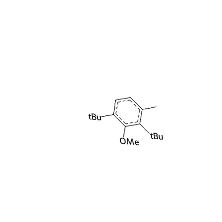 COc1c(C(C)(C)C)ccc(C)c1C(C)(C)C